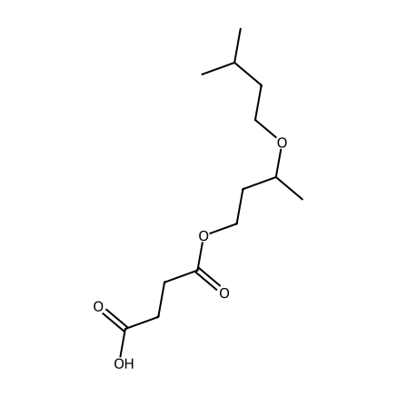 CC(C)CCOC(C)CCOC(=O)CCC(=O)O